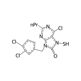 CCCc1nc(Cl)c2c(n1)n(Cc1ccc(Cl)c(Cl)c1)c(=O)n2S